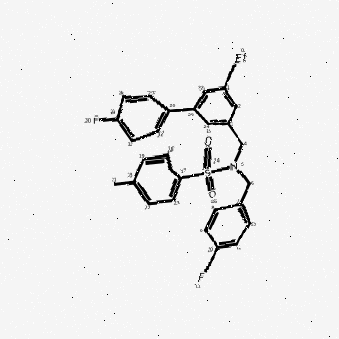 CCc1cc(CN(Cc2ccc(F)cc2)S(=O)(=O)c2ccc(C)cc2)cc(-c2ccc(F)cc2)c1